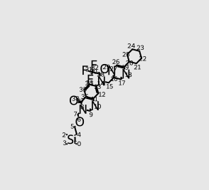 C[Si](C)(C)CCOCn1cnc2cc(N(Cc3cnc(C4CCCCC4)cn3)C(=O)C(F)(F)F)ccc2c1=O